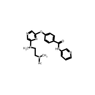 CC(=O)N(C)CCN(C)c1cncc(Oc2ccc(C(=O)Nc3cccnc3)cc2)n1